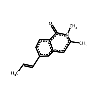 C/C=C/c1ccc2c(=O)n(C)c(C)cc2c1